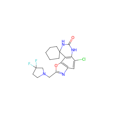 O=C1Nc2c(Cl)cc3nc(CN4CCC(F)(F)C4)oc3c2C2(CCCCC2)N1